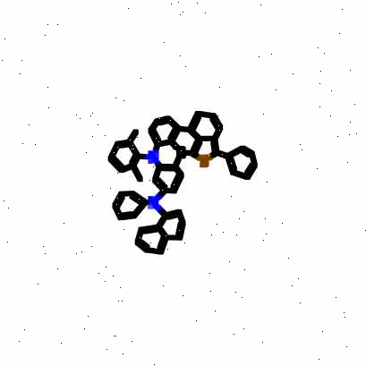 Cc1cccc(C)c1N1c2cc(N(c3ccccc3)c3cccc4ccccc34)ccc2B2c3c(cccc31)-c1cccc3c(-c4ccccc4)sc2c13